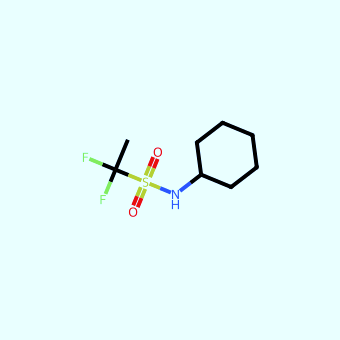 CC(F)(F)S(=O)(=O)NC1CCCCC1